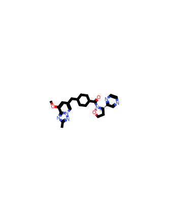 COc1cc(CC2CCC(C(=O)N3OCC[C@H]3c3cnccn3)CC2)cn2nc(C)nc12